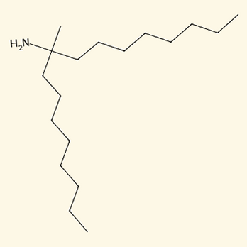 CCCCCCCCC(C)(N)CCCCCCCC